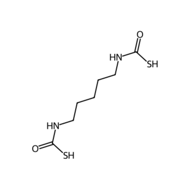 O=C(S)NCCCCCNC(=O)S